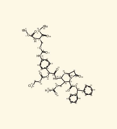 CC(C)(C)OC(=O)N[C@H](COC(=O)Nc1ccc(C(OC(=O)OCC(Cl)(Cl)Cl)C(=O)NC2SC3=[N+](C(=O)C3)C(C(=O)OC(c3ccccc3)c3ccccc3)C2COC(N)=O)cc1)C(=O)OC(C)(C)C